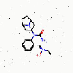 CC[N+](O)=Cc1ccccc1N(C(N)=O)C1CC2CCC(C1)N2C